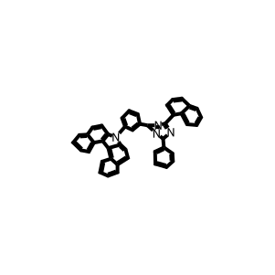 c1ccc(C2N=C(c3cccc4ccccc34)N3C(c4cccc(-n5c6ccc7ccccc7c6c6c7ccccc7ccc65)c4)N23)cc1